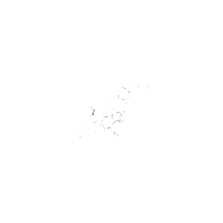 COc1ccc(Cn2cnc3c(Br)cc(C4(C#N)CC(C)C4)cc32)cc1